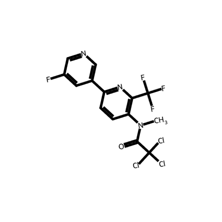 CN(C(=O)C(Cl)(Cl)Cl)c1ccc(-c2cncc(F)c2)nc1C(F)(F)F